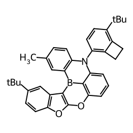 Cc1ccc2c(c1)B1c3c(cccc3N2c2ccc(C(C)(C)C)c3c2CC3)Oc2oc3ccc(C(C)(C)C)cc3c21